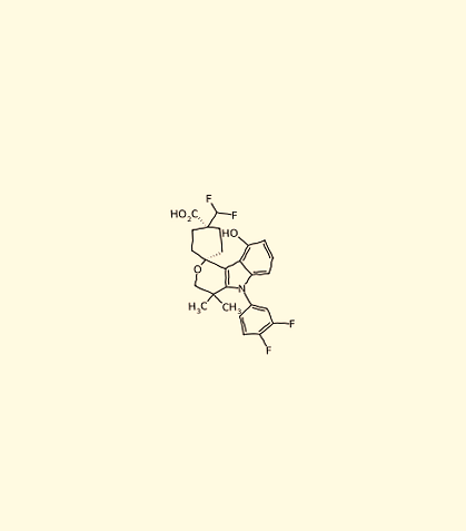 CC1(C)CO[C@]2(CC[C@](C(=O)O)(C(F)F)CC2)c2c1n(-c1ccc(F)c(F)c1)c1cccc(O)c12